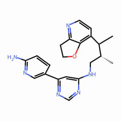 CC(c1ccnc2c1OCC2)[C@H](C)CNc1cc(-c2ccc(N)nc2)ncn1